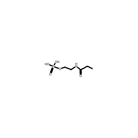 O=C(CI)NCCOP(=O)(O)O